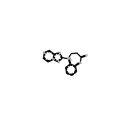 O=C1CC[SH2](c2nc3cnccn3n2)=c2ccccc2=N1